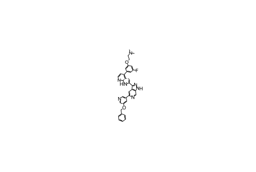 CN(C)CCOc1cc(F)cc(-c2ccnc3[nH]c(-c4n[nH]c5cnc(-c6cncc(OCc7ccccc7)c6)cc45)cc23)c1